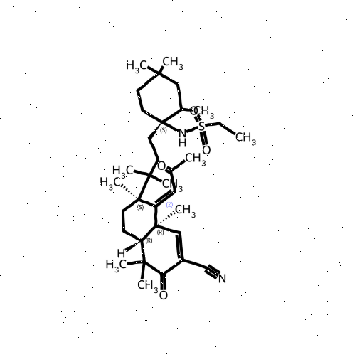 CCS(=O)(=O)N[C@]1(CCC(C)(C)[C@]2(C)CC[C@H]3C(C)(C)C(=O)C(C#N)=C[C@]3(C)/C2=C/C(C)=O)CCC(C)(C)CC1C